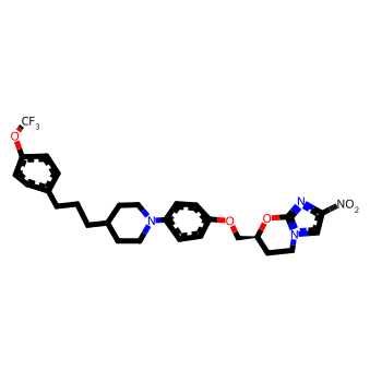 O=[N+]([O-])c1cn2c(n1)O[C@H](COc1ccc(N3CCC(CCCc4ccc(OC(F)(F)F)cc4)CC3)cc1)CC2